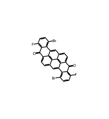 O=c1c2ccc3cc4c5c(Br)ccc(F)c5c(=O)c5ccc6cc(c7c(Br)ccc(F)c17)c2c3c6c54